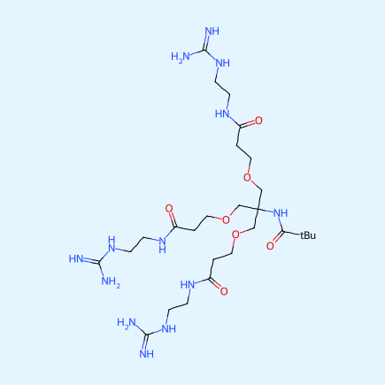 CC(C)(C)C(=O)NC(COCCC(=O)NCCNC(=N)N)(COCCC(=O)NCCNC(=N)N)COCCC(=O)NCCNC(=N)N